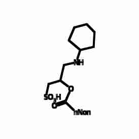 CCCCCCCCCC(=O)OC(CNC1CCCCC1)CS(=O)(=O)O